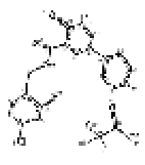 O=C(NCc1ccc(Cl)cc1F)c1cc(-c2ccncc2)n[nH]c1=O.O=C(O)C(F)(F)F